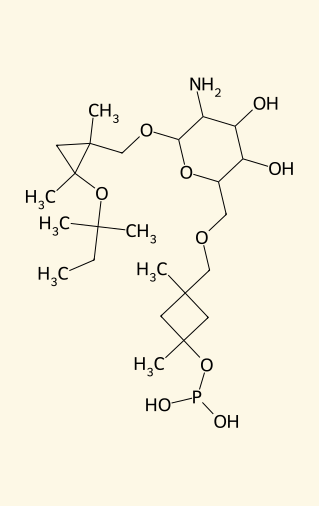 CCC(C)(C)OC1(C)CC1(C)COC1OC(COCC2(C)CC(C)(OP(O)O)C2)C(O)C(O)C1N